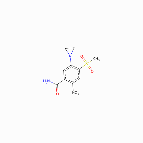 CS(=O)(=O)c1cc([N+](=O)[O-])c(C(N)=O)cc1N1CC1